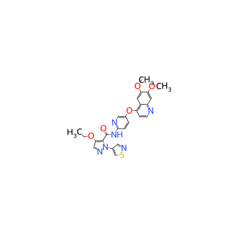 CCOc1cnn(-c2cnsc2)c1C(=O)Nc1ccc(Oc2ccnc3cc(OC)c(OC)cc23)cn1